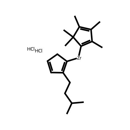 CC1=C(C)C(C)(C)[C]([Zr][C]2=C(CCC(C)C)C=CC2)=C1C.Cl.Cl